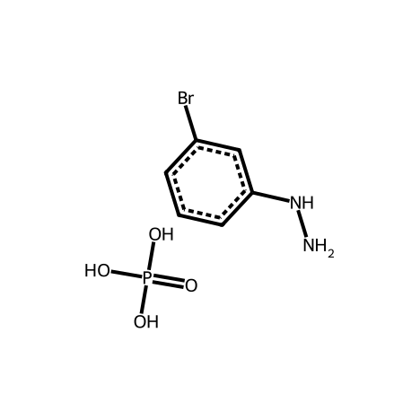 NNc1cccc(Br)c1.O=P(O)(O)O